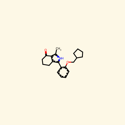 Cc1[nH]c(-c2ccccc2OCC2CCCC2)c2c1C(=O)CCC2